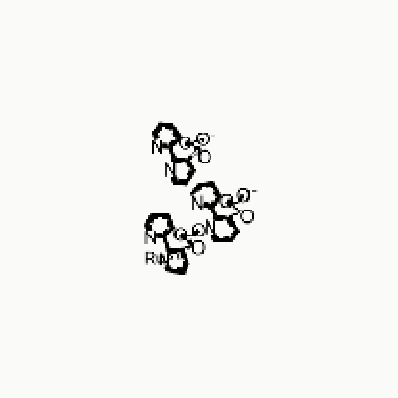 O=S(=O)([O-])c1cccnc1-c1ccccn1.O=S(=O)([O-])c1cccnc1-c1ccccn1.O=S(=O)([O-])c1cccnc1-c1ccccn1.[Ru+3]